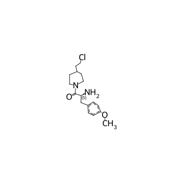 COc1ccc(C[C@H](N)C(=O)N2CCC(CCCl)CC2)cc1